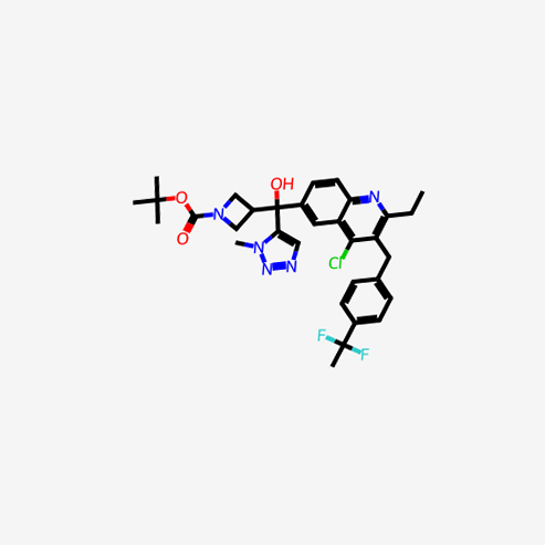 CCc1nc2ccc(C(O)(c3cnnn3C)C3CN(C(=O)OC(C)(C)C)C3)cc2c(Cl)c1Cc1ccc(C(C)(F)F)cc1